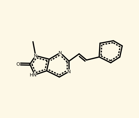 Cn1c(=O)[nH]c2cnc(/C=C/c3ccccc3)nc21